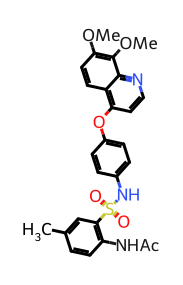 COc1ccc2c(Oc3ccc(NS(=O)(=O)c4cc(C)ccc4NC(C)=O)cc3)ccnc2c1OC